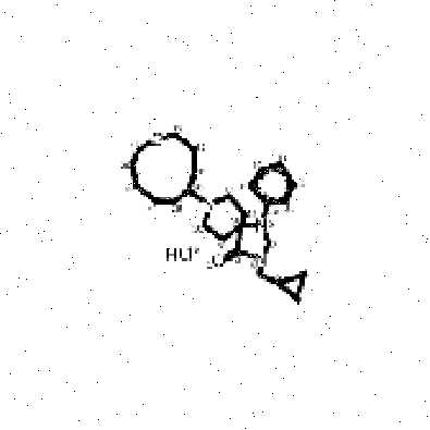 Cl.O=C1N(CC2CC2)CN(c2ccccc2)C12CCN(C1CCCCCCCCC1)CC2